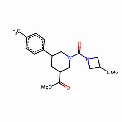 COC(=O)C1CC(c2ccc(C(F)(F)F)cc2)CN(C(=O)N2CC(OC)C2)C1